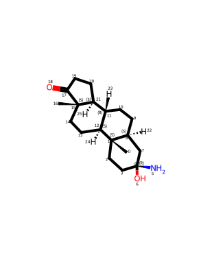 C[C@]12CC[C@@](N)(O)C[C@@H]1CC[C@@H]1[C@@H]2CC[C@]2(C)C(=O)CC[C@@H]12